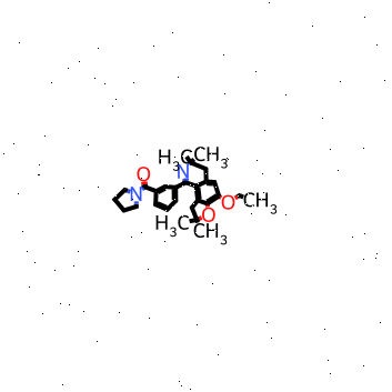 CCOc1cc2c(c3c1OC(C)(C)C3)C(c1cccc(C(=O)N3CCCC3)c1)=NC(C)(C)C2